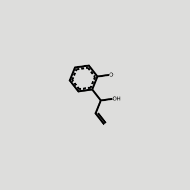 C=CC(O)c1ccccc1[O]